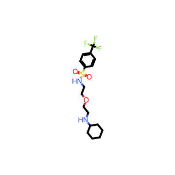 O=S(=O)(NCCOCCNC1CCCCC1)c1ccc(C(F)(F)F)cc1